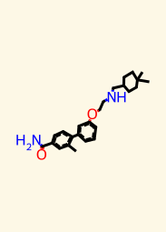 Cc1cc(C(N)=O)ccc1-c1cccc(OCCNCC2CCC(C)(C)CC2)c1